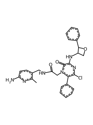 Cc1nc(N)ccc1CNC(=O)Cn1c(-c2ccccc2)c(Cl)nc(NC2COC2c2ccccc2)c1=O